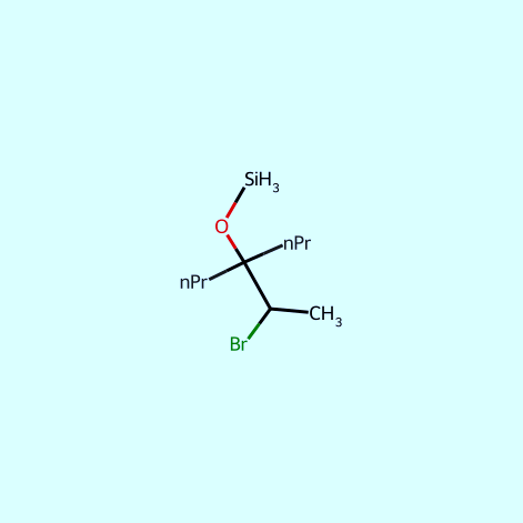 CCCC(CCC)(O[SiH3])C(C)Br